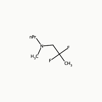 CCCN(C)CC(C)(F)F